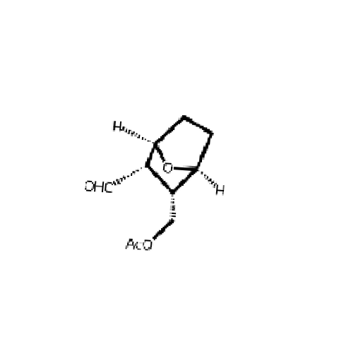 CC(=O)OC[C@@H]1[C@H](C=O)[C@H]2CC[C@@H]1O2